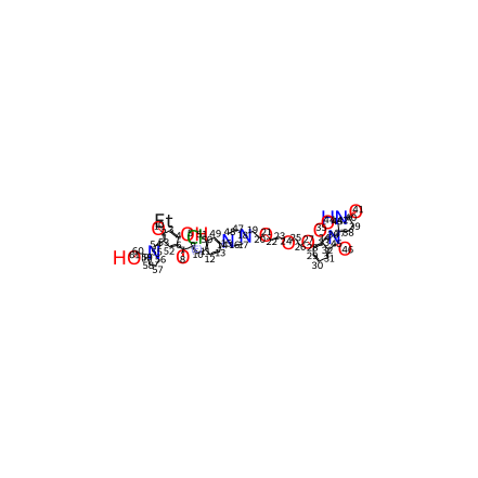 CCOc1cc(O)c(C(=O)/C=C/c2ccc(N3CCN(CCOCCOCCOc4cccc5c4C(=O)N(C4CCC(=O)NC4=O)C5=O)CC3)cc2Cl)cc1CN1CCC[C@@H]1CO